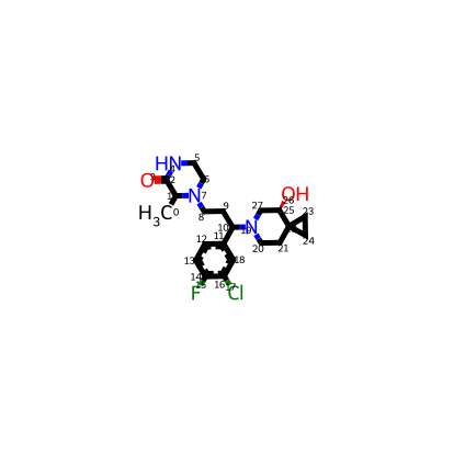 CC1C(=O)NCCN1CCC(c1ccc(F)c(Cl)c1)N1CCC2(CC2)[C@H](O)C1